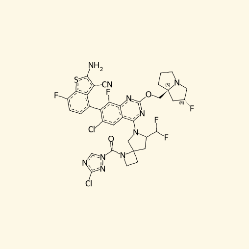 N#Cc1c(N)sc2c(F)ccc(-c3c(Cl)cc4c(N5CC6(CCN6C(=O)n6cnc(Cl)n6)CC5C(F)F)nc(OC[C@@]56CCCN5C[C@H](F)C6)nc4c3F)c12